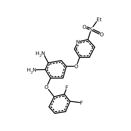 CCS(=O)(=O)c1ccc(Oc2cc(N)c(N)c(Oc3cccc(F)c3F)c2)cn1